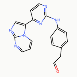 O=CCc1ccc(Nc2nccc(-c3cnc4ncccn34)n2)cc1